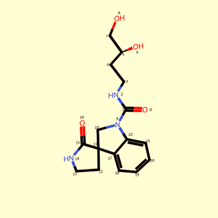 O=C(NCC[C@H](O)CO)N1CC2(CCNC2=O)c2ccccc21